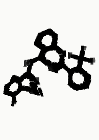 Fc1cccc2c(Nc3nc(-c4ccccc4C(F)(F)F)nc4ccccc34)n[nH]c12